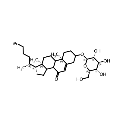 CC(C)CCC[C@@H](C)[C@H]1CCC2C3C(=O)C=C4CC(O[C@@H]5O[C@H](CO)[C@@H](O)[C@H](O)[C@H]5O)CC[C@]4(C)C3CC[C@@]21C